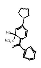 O=C(c1ccccc1)C1C=CC(N2CCCC2)=CC1(O)C(=O)O